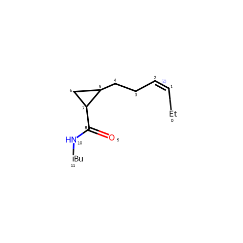 CC/C=C\CCC1CC1C(=O)NC(C)CC